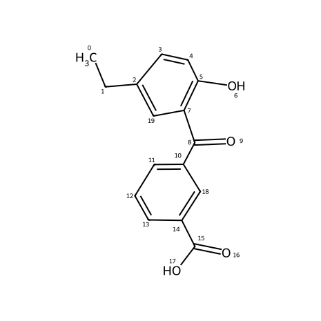 CCc1ccc(O)c(C(=O)c2cccc(C(=O)O)c2)c1